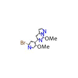 COc1cnc(Br)cc1-c1cc2ccnn2c(OC)n1